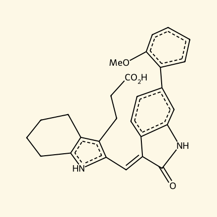 COc1ccccc1-c1ccc2c(c1)NC(=O)C2=Cc1[nH]c2c(c1CCC(=O)O)CCCC2